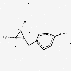 COc1ccc(CN2[C@H](C(F)(F)F)[C@@H]2C(C)=O)cc1